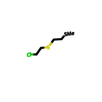 CSCCSCCCl